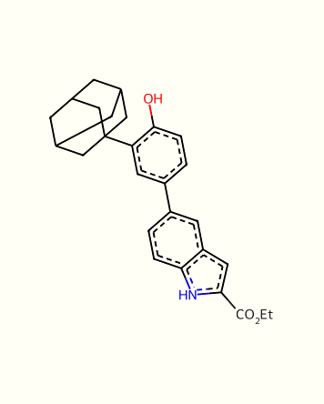 CCOC(=O)c1cc2cc(-c3ccc(O)c(C45CC6CC(CC(C6)C4)C5)c3)ccc2[nH]1